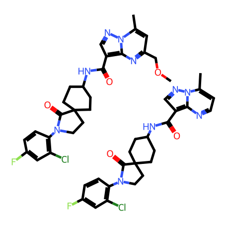 COCc1cc(C)n2ncc(C(=O)NC3CCC4(CC3)CCN(c3ccc(F)cc3Cl)C4=O)c2n1.Cc1ccnc2c(C(=O)NC3CCC4(CC3)CCN(c3ccc(F)cc3Cl)C4=O)cnn12